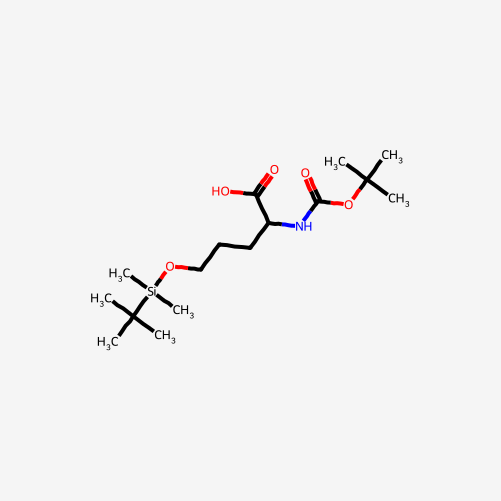 CC(C)(C)OC(=O)NC(CCCO[Si](C)(C)C(C)(C)C)C(=O)O